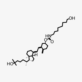 C=C1CC[C@H](OC(=O)NCCCCCCCCO)C/C1=C/C=C1\CCC[C@]2(C)[C@@H]([C@H](C)CCCC(C)(C)O)CC[C@@H]12